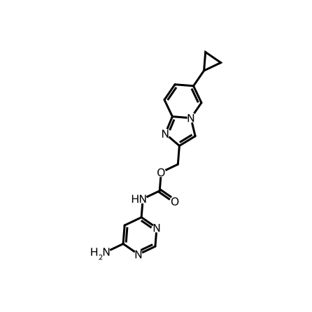 Nc1cc(NC(=O)OCc2cn3cc(C4CC4)ccc3n2)ncn1